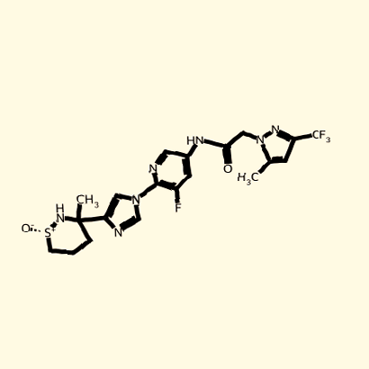 Cc1cc(C(F)(F)F)nn1CC(=O)Nc1cnc(-n2cnc(C3(C)CCC[S@+]([O-])N3)c2)c(F)c1